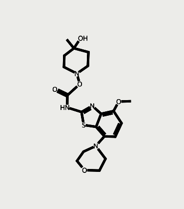 COc1ccc(N2CCOCC2)c2sc(NC(=O)ON3CCC(C)(O)CC3)nc12